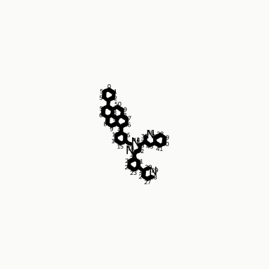 c1ccc(-c2ccc3ccc4c(-c5cccc(-c6nc(-c7cccc(-c8cccnc8)c7)cc(-c7cnc8ccccc8c7)n6)c5)ccc5ccc2c3c54)cc1